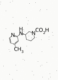 Cc1ccnc(N[C@@H]2CCCN(C(=O)O)C2)c1